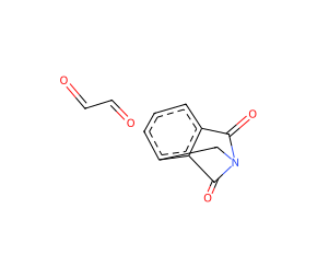 O=C1c2cccc3c2C(=O)N1C3.O=CC=O